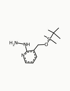 CC(C)(C)[Si](C)(C)OCc1cccnc1NN